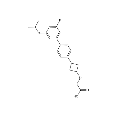 CC(C)Oc1cc(F)cc(-c2ccc(C3CC(OCC(=O)O)C3)cc2)c1